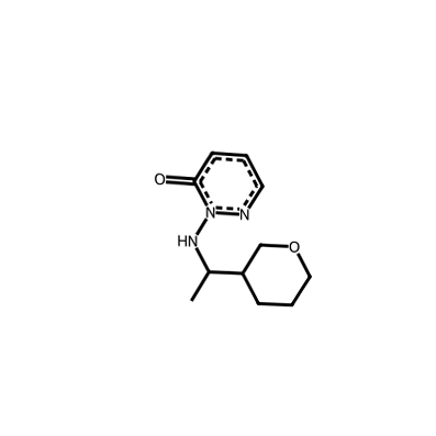 CC(Nn1ncccc1=O)C1CCCOC1